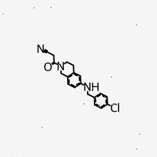 N#CCC(=O)N1CCc2cc(NCc3ccc(Cl)cc3)ccc2C1